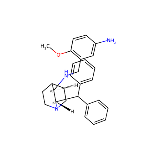 COc1ccc(N)cc1CN[C@@H]1C2CCN(CC2)[C@H]1C(c1ccccc1)c1ccccc1